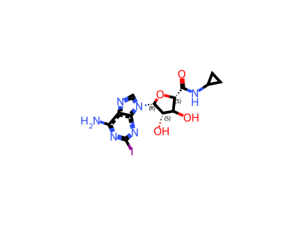 Nc1nc(I)nc2c1ncn2[C@@H]1O[C@H](C(=O)NC2CC2)C(O)[C@@H]1O